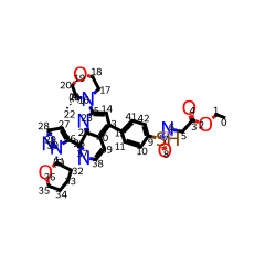 CCOC(=O)C/N=[SH](=O)/c1ccc(-c2cc(N3CCOC[C@H]3C)nc3c(-c4ccnn4[C@@H]4CCCCO4)nccc23)cc1